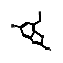 CC(C)c1cc(CF)c2oc(N)nc2c1